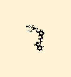 C[C@H](OCc1cccc(/C=C/Cn2ccc3ccccc32)c1)C(=O)O